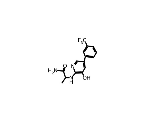 CC(Nc1ncc(-c2cccc(C(F)(F)F)c2)cc1O)C(N)=O